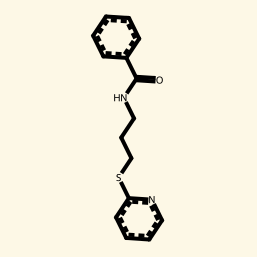 O=C(NCCCSc1ccccn1)c1ccccc1